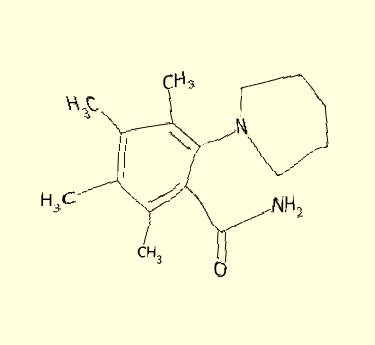 Cc1c(C)c(C)c(N2CCCCC2)c(C(N)=O)c1C